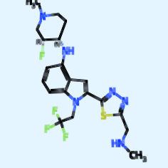 CNCc1nnc(-c2cc3c(N[C@H]4CCN(C)C[C@H]4F)cccc3n2CC(F)(F)F)s1